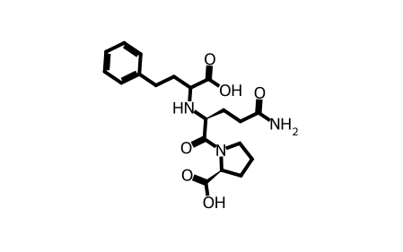 NC(=O)CC[C@H](NC(CCc1ccccc1)C(=O)O)C(=O)N1CCC[C@H]1C(=O)O